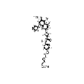 COCCOCCOc1ccc(NC(=O)C2CN(c3cc(C)c4c(=O)c(C(=O)O)cn(-c5ncns5)c4n3)C2)nc1